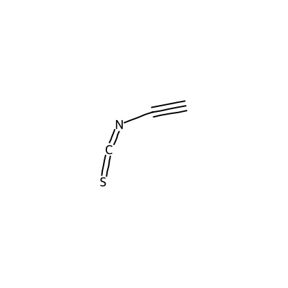 C#CN=C=S